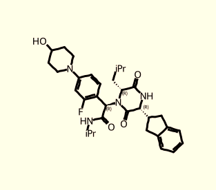 CC(C)C[C@@H]1C(=O)N[C@H](C2Cc3ccccc3C2)C(=O)N1[C@@H](C(=O)NC(C)C)c1ccc(N2CCC(O)CC2)cc1F